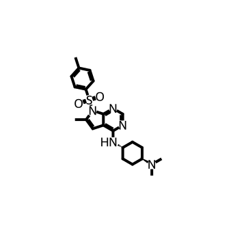 Cc1ccc(S(=O)(=O)n2c(C)cc3c(N[C@H]4CC[C@H](N(C)C)CC4)ncnc32)cc1